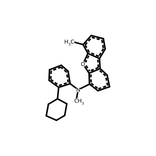 Cc1cccc2c1oc1c(N(C)c3ccccc3C3CCCCC3)cccc12